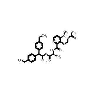 CCc1ccc(C(c2ccc(CC)cc2)[C@H](C)OC(=O)[C@H](C)NC(=O)c2nccc(OC)c2OCOC(C)=O)cc1